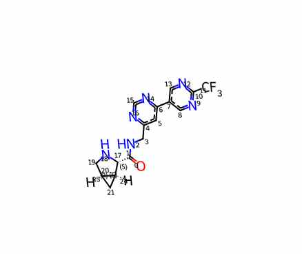 O=C(NCc1cc(-c2cnc(C(F)(F)F)nc2)ncn1)[C@H]1NC[C@@H]2C[C@@H]21